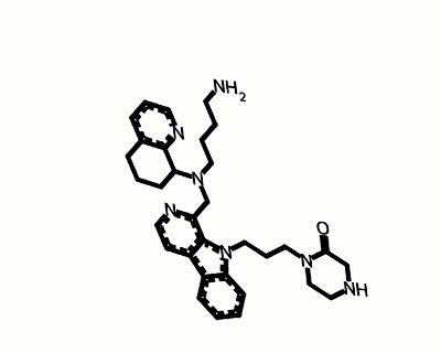 NCCCCN(Cc1nccc2c3ccccc3n(CCCN3CCNCC3=O)c12)C1CCCc2cccnc21